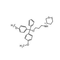 COc1ccc(C(OCCCN[C@H]2CCSSC2)(c2ccccc2)c2ccc(OC)cc2)cc1